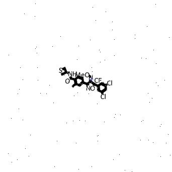 CO/N=C1\C(c2ccc(C(=O)NC3CSC3)c(C)c2)=NOC1(c1cc(Cl)cc(Cl)c1)C(F)(F)F